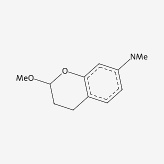 CNc1ccc2c(c1)OC(OC)CC2